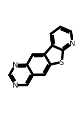 c1cnc2sc3cc4cncnc4cc3c2c1